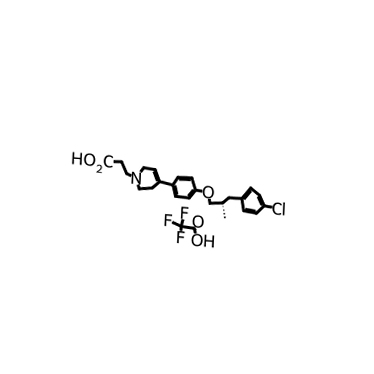 C[C@H](COc1ccc(C2=CCN(CCC(=O)O)CC2)cc1)Cc1ccc(Cl)cc1.O=C(O)C(F)(F)F